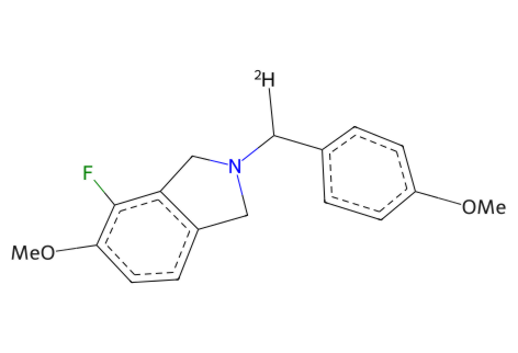 [2H]C(c1ccc(OC)cc1)N1Cc2ccc(OC)c(F)c2C1